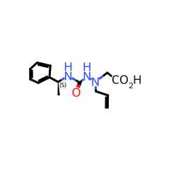 C=CCN(CC(=O)O)NC(=O)N[C@@H](C)c1ccccc1